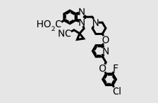 N#CCC1(Cn2c(CN3CCC(Oc4cccc(COc5ccc(Cl)cc5F)n4)CC3)nc3ccc(C(=O)O)cc32)CC1